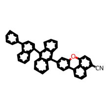 N#Cc1ccc2c3c(cccc13)-c1ccc(-c3c4ccccc4c(-c4ccc(-c5ccccc5)c5ccccc45)c4ccccc34)cc1O2